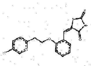 CCc1ccc(CCOc2ccccc2/C=C2/SC(=O)NC2=O)nc1